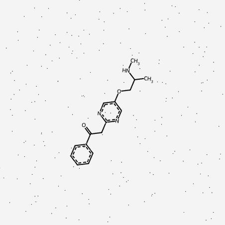 CNC(C)COc1cnc(CC(=O)c2ccccc2)nc1